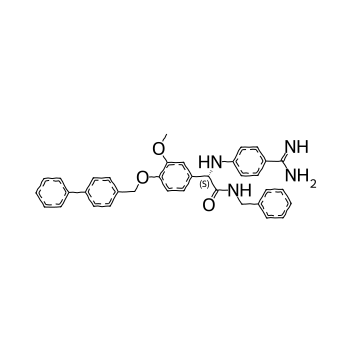 COc1cc([C@H](Nc2ccc(C(=N)N)cc2)C(=O)NCc2ccccc2)ccc1OCc1ccc(-c2ccccc2)cc1